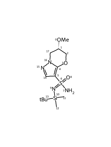 CO[C@@H]1COc2c(S(N)(=O)=N[Si](C)(C)C(C)(C)C)cnn2C1